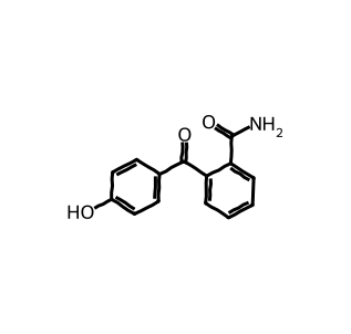 NC(=O)c1ccccc1C(=O)c1ccc(O)cc1